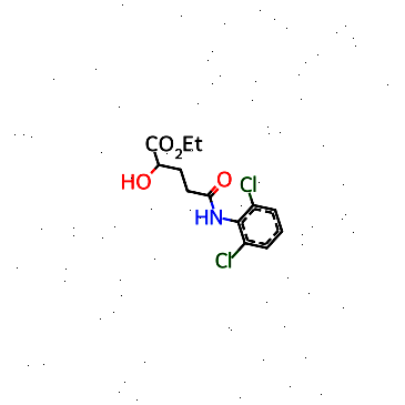 CCOC(=O)C(O)CCC(=O)Nc1c(Cl)cccc1Cl